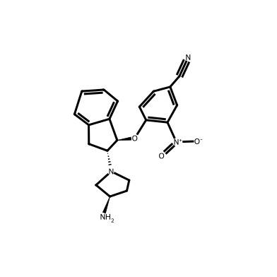 N#Cc1ccc(O[C@@H]2c3ccccc3C[C@H]2N2CC[C@@H](N)C2)c([N+](=O)[O-])c1